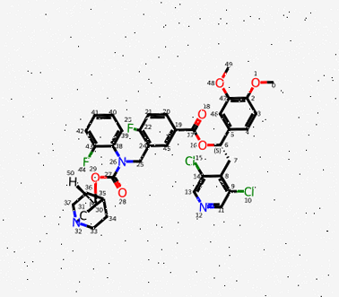 COc1ccc([C@H](Cc2c(Cl)cncc2Cl)OC(=O)c2ccc(F)c(CN(C(=O)O[C@H]3CN4CCC3CC4)c3ccccc3F)c2)cc1OC